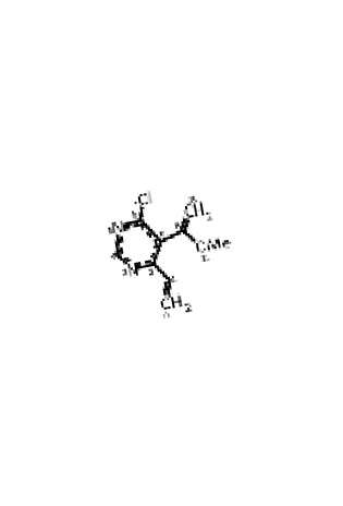 C=Cc1ncnc(Cl)c1C(=C)OC